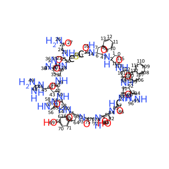 CCC1NC(=O)C(Cc2ccccc2)NC(=O)CSCC(C(=O)NCC(N)=O)NC(=O)C(Cc2cncn2C)NC(=O)C(CCCNC(=N)N)NC(=O)C(Cc2c[nH]cn2)NC(=O)C(Cc2ccc(O)cc2)N(C)C(=O)C(C)NC(=O)C(CO)NC(=O)CNC(=O)C(Cc2c[nH]cn2)NC(=O)C(Cc2cccc3ccccc23)NC1=O